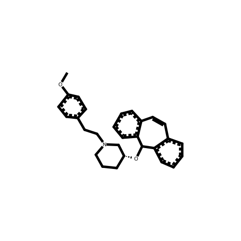 COc1ccc(CCN2CCC[C@@H](OC3c4ccccc4C=Cc4ccccc43)C2)cc1